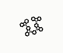 C1=Cc2c(c3ccccc3n2-c2ccc3c(c2)c2ccccc2n3-c2cccc(-n3c4ccccc4c4cc(-n5c6ccccc6c6ccccc65)ccc43)c2)CC1